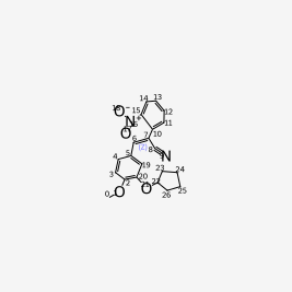 COc1ccc(/C=C(\C#N)c2ccccc2[N+](=O)[O-])cc1OC1CCCC1